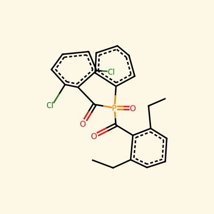 CCc1cccc(CC)c1C(=O)P(=O)(C(=O)c1c(Cl)cccc1Cl)c1ccccc1